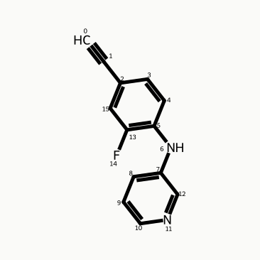 C#Cc1ccc(Nc2cccnc2)c(F)c1